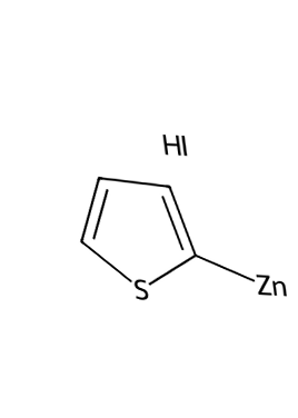 I.[Zn][c]1cccs1